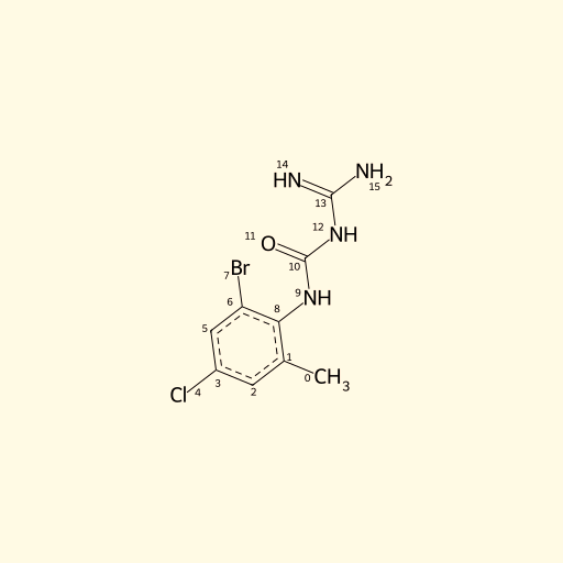 Cc1cc(Cl)cc(Br)c1NC(=O)NC(=N)N